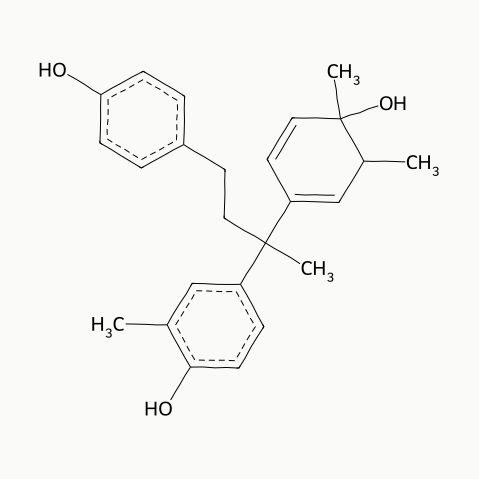 Cc1cc(C(C)(CCc2ccc(O)cc2)C2=CC(C)C(C)(O)C=C2)ccc1O